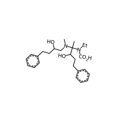 CCN(C(=O)O)C(C)(C(O)CCc1ccccc1)N(C)CC(O)CCc1ccccc1